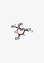 CCC(CCC(F)(F)F)O[Si](C(C)C)(C(C)C)C(C)C